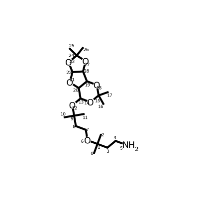 CC(C)(CCN)OCCC(C)(C)OC1OC(C)(C)OC2C1OC1OC(C)(C)OC12